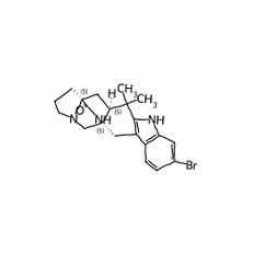 CC1(C)c2[nH]c3cc(Br)ccc3c2C[C@@]23CN4CCC[C@]4(C[C@@H]12)C(=O)N3